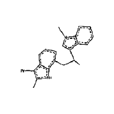 Cc1[nH]c2c(CC(C)c3cn(C)c4ccccc34)cccc2c1C(C)C